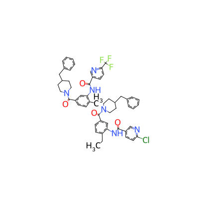 CCc1ccc(C(=O)N2CCC(Cc3ccccc3)CC2)cc1NC(=O)c1ccc(Cl)nc1.Cc1ccc(C(=O)N2CCC(Cc3ccccc3)CC2)cc1NC(=O)c1ccc(C(F)(F)F)nc1